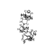 Fc1ccc(-c2c(-c3ccncc3)nn3c(C4CCC(N5[C@@H]6CC[C@H]5COC6)CC4)ccnc23)c2cn[nH]c12